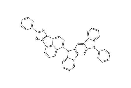 c1ccc(-c2nc3c(o2)-c2cccc4c(-n5c6ccccc6c6cc7c(cc65)c5ccccc5n7-c5ccccc5)ccc-3c24)cc1